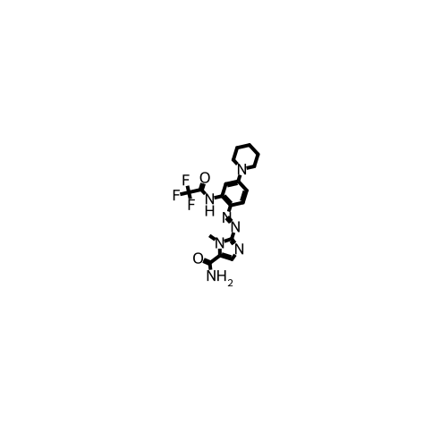 Cn1c(C(N)=O)cnc1N=Nc1ccc(N2CCCCC2)cc1NC(=O)C(F)(F)F